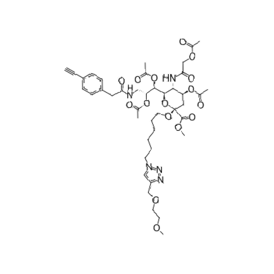 C#Cc1ccc(CC(=O)NC[C@@H](OC(C)=O)[C@@H](OC(C)=O)[C@@H]2O[C@@](OCCCCCCn3cc(COCCOC)nn3)(C(=O)OC)C[C@H](OC(C)=O)[C@H]2NC(=O)COC(C)=O)cc1